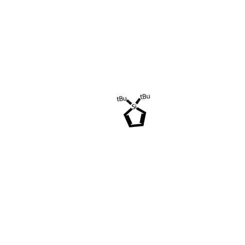 CC(C)(C)[Si]1(C(C)(C)C)C=CC=C1